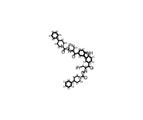 CC(C)C/C(=N\OC(=O)N1CCC(c2ccccc2)CC1)C(=O)c1ccc2[nH]c3ccc(C(=O)/C(CC(C)C)=N/OC(=O)N4CCC(c5ccccc5)CC4)cc3c2c1